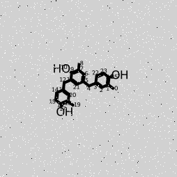 Cc1cc(Cc2cc(C)c(O)c(Cc3ccc(O)c(C)c3)c2)ccc1O